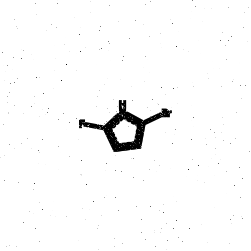 Fc1ccc(Br)[nH]1